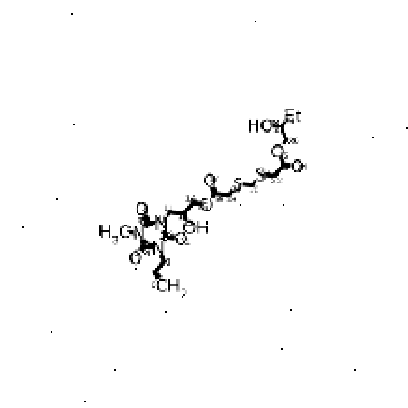 C=CCn1c(=O)n(C)c(=O)n(CC(O)COC(=O)CSCSCC(=O)OCC(O)CC)c1=O